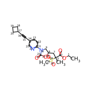 CCOC(=O)C(C)(CC1CN(c2ccc(C#CC3CCC3)cn2)C(=O)O1)S(C)(=O)=O